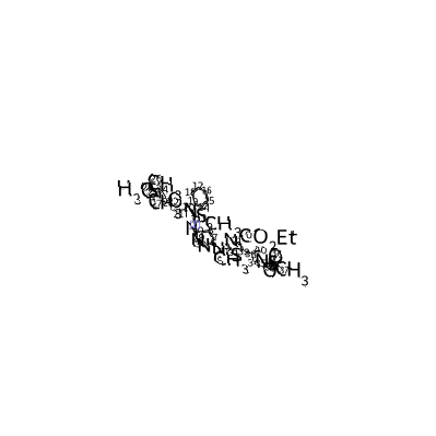 CCOC(=O)c1nc(N(C)c2cc(C)c(/N=c3\sc4ccccc4n3COCC[Si](C)(C)C)nn2)sc1C1CN(S(C)(=O)=O)C1